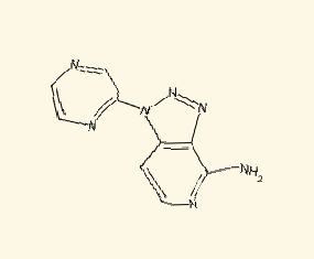 Nc1nccc2c1nnn2-c1cnccn1